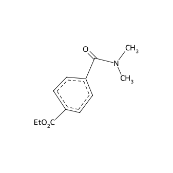 CCOC(=O)c1ccc(C(=O)N(C)C)cc1